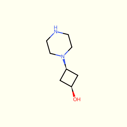 O[C@H]1C[C@@H](N2CCNCC2)C1